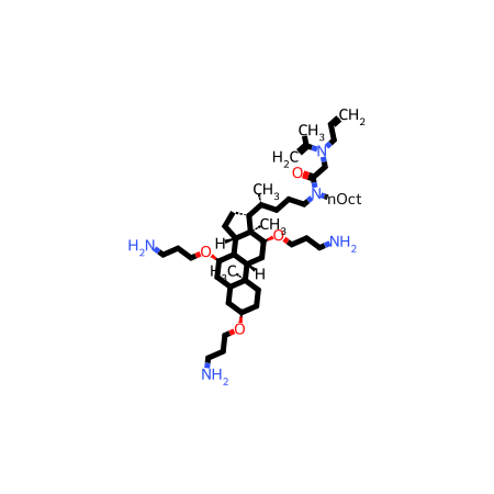 C=CCN(CC(=O)N(CCCCCCCC)CCC[C@@H](C)[C@H]1CC[C@H]2C3[C@H](OCCCN)CC4C[C@H](OCCCN)CC[C@]4(C)[C@H]3C[C@H](OCCCN)[C@]12C)C(=C)C